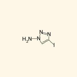 Nn1cc(I)nn1